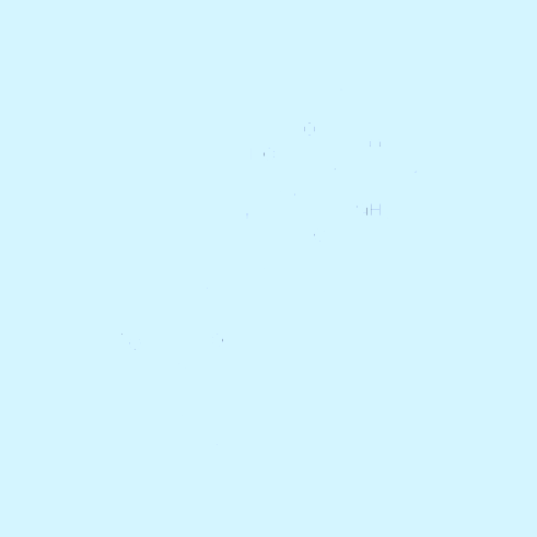 C=C(C)C(=O)OCCCC(O)(OC)C([SiH3])(OC)OC